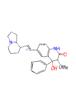 COC1C(=O)Nc2ccc(/C=C/C3CCCN4CCCC34)cc2C1(O)c1ccccc1